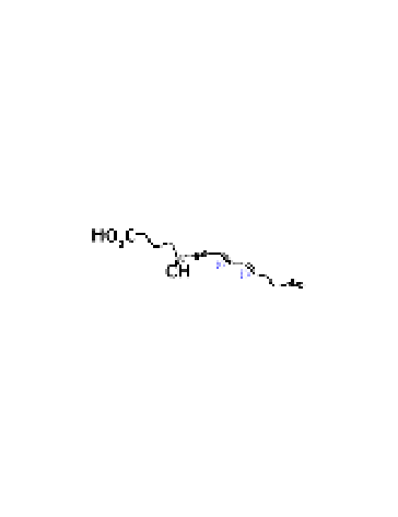 C#CCC/C=C/C=C/C#C[C@@H](O)CCCC(=O)O